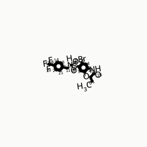 CCC1Oc2cc(S(=O)(=O)NCc3ccc(C(F)(F)F)cc3)c(Br)cc2NC1=O